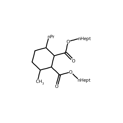 CCCCCCCOC(=O)C1C(C)CCC(CCC)C1C(=O)OCCCCCCC